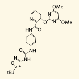 COc1cc(OC)nc(Oc2cccnc2C(=O)Nc2ccc(NC(=O)Nc3cc(C(C)(C)C)on3)cc2)n1